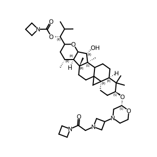 CC(C)[C@@H](OC(=O)N1CCC1)C1C[C@@H](C)[C@H]2C(O1)[C@H](O)[C@@]1(C)C3CC[C@H]4C(C)(C)[C@@H](O[C@H]5CN(C6CN(CC(=O)N7CCC7)C6)CCO5)CC[C@@]45CC35CC[C@]21C